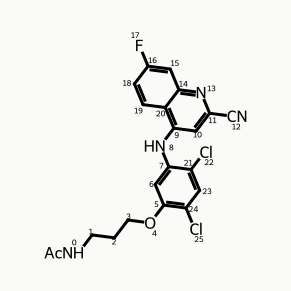 CC(=O)NCCCOc1cc(Nc2cc(C#N)nc3cc(F)ccc23)c(Cl)cc1Cl